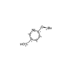 CC[C@H](C)Oc1ccc(C(=O)O)cn1